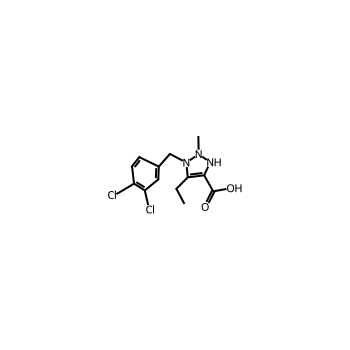 CCC1=C(C(=O)O)NN(C)N1Cc1ccc(Cl)c(Cl)c1